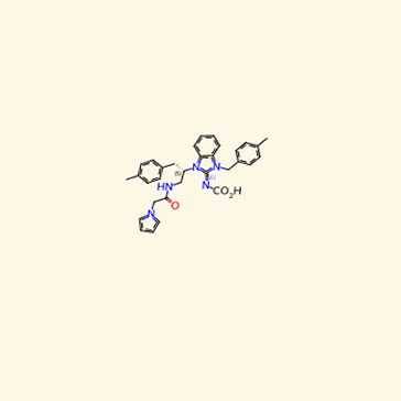 Cc1ccc(C[C@@H](CNC(=O)Cn2cccc2)n2/c(=N/C(=O)O)n(Cc3ccc(C)cc3)c3ccccc32)cc1